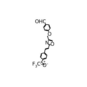 O=Cc1ccc(OCc2coc(C=Cc3ccc([S+]([O-])C(F)(F)F)cc3)n2)cc1